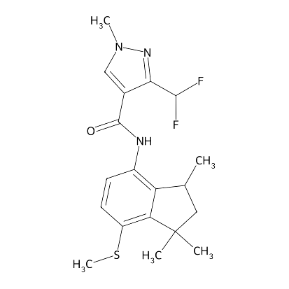 CSc1ccc(NC(=O)c2cn(C)nc2C(F)F)c2c1C(C)(C)CC2C